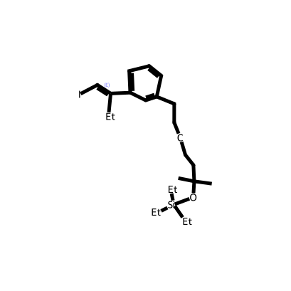 CC/C(=C\I)c1cccc(CCCCCC(C)(C)O[Si](CC)(CC)CC)c1